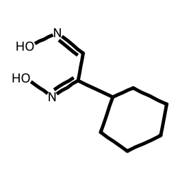 O/N=C\C(=N/O)C1CCCCC1